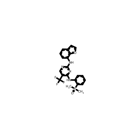 CP(C)(=O)c1ccccc1Nc1nc(Nc2cccc3ccoc23)ncc1C(F)(F)F